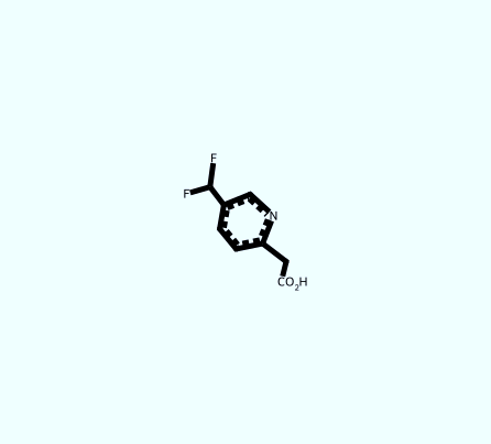 O=C(O)Cc1ccc(C(F)F)cn1